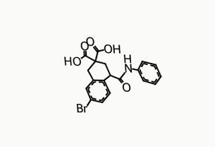 O=C(Nc1ccccc1)C1CC(C(=O)O)(C(=O)O)Cc2cc(Br)ccc21